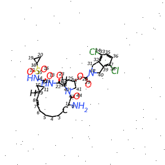 NC1CCCCC/C=C\[C@@H]2C[C@@]2(C(=O)NS(=O)(=O)C2CC2)NC(=O)[C@@H]2C[C@@H](OC(=O)N3Cc4c(Cl)ccc(Cl)c4C3)CN2C1=O